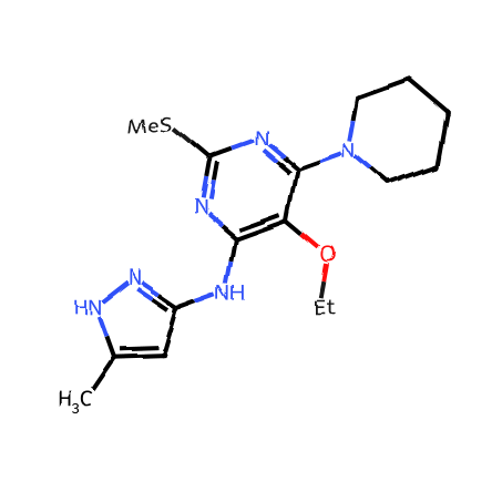 CCOc1c(Nc2cc(C)[nH]n2)nc(SC)nc1N1CCCCC1